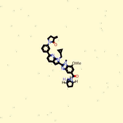 C=C1CCN(c2cccc(-c3ccc4cc(-c5nc6cc(C(=O)N7C[C@H]8CC[C@@H]7[C@@H]8N)cc(OC)c6n5C)n(CC5CC5)c4n3)c2)C1=O